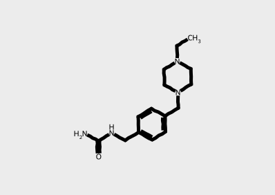 CCN1CCN(Cc2ccc(CNC(N)=O)cc2)CC1